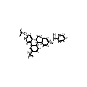 CC(C)Oc1ccc(-c2cc(C(F)(F)F)ccc2C2CCOc3cc(SNc4ncccn4)ccc32)cn1